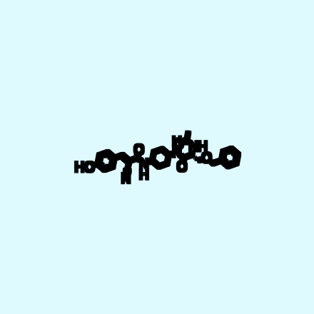 CC(=O)N[C@H](COCc1ccccc1)C(=O)NC1CCC(NC(=O)C(C#N)=Cc2ccc(O)cc2)CC1